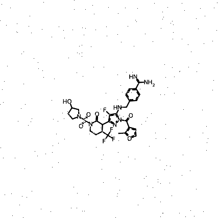 Cc1occc1C(=O)n1nc(C2C(=O)N(S(=O)(=O)N3CCC(O)C3)CCC2C(F)(F)F)c(F)c1NCc1ccc(C(=N)N)cc1